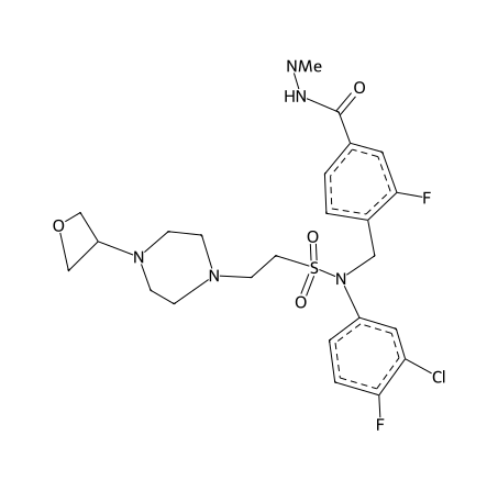 CNNC(=O)c1ccc(CN(c2ccc(F)c(Cl)c2)S(=O)(=O)CCN2CCN(C3COC3)CC2)c(F)c1